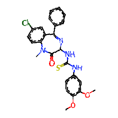 COc1ccc(NC(=S)NC2N=C(c3ccccc3)c3cc(Cl)ccc3N(C)C2=O)cc1OC